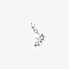 [2H]c1c([2H])c(OCc2ccc(CN3CCOCC3)cc2)c2c(c1[2H])C(=O)N(C1CCC(=O)NC1=O)C2[2H]